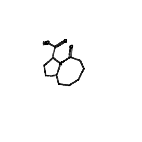 O=C(O)C1CCC2CCCCCC(=O)N21